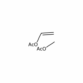 C=COC(C)=O.COC(C)=O